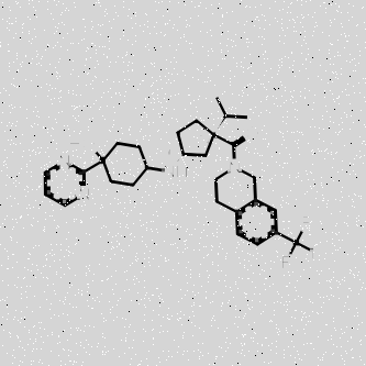 CC(C)[C@]1(C(=O)N2CCc3ccc(C(F)(F)F)cc3C2)CC[C@@H](NC2CCC(O)(c3ncccn3)CC2)C1